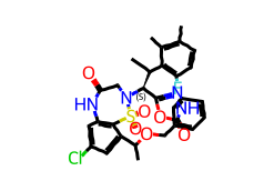 Cc1ccc(F)c(C(C)[C@@H](c2n[nH]c(=O)o2)N2CC(=O)Nc3cc(Cl)cc(C(C)OCc4ccccc4)c3S2(=O)=O)c1C